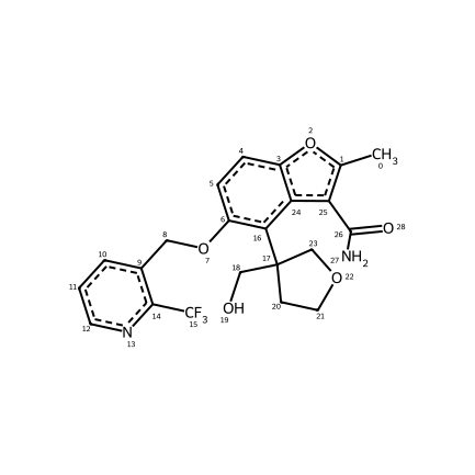 Cc1oc2ccc(OCc3cccnc3C(F)(F)F)c(C3(CO)CCOC3)c2c1C(N)=O